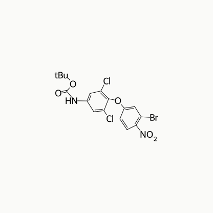 CC(C)(C)OC(=O)Nc1cc(Cl)c(Oc2ccc([N+](=O)[O-])c(Br)c2)c(Cl)c1